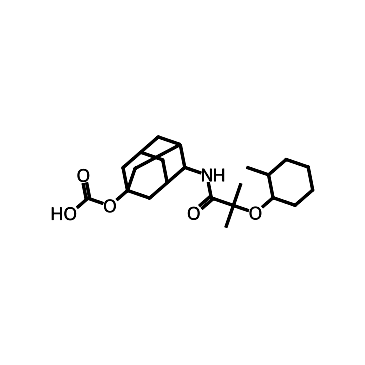 CC1CCCCC1OC(C)(C)C(=O)NC1C2CC3CC1CC(OC(=O)O)(C3)C2